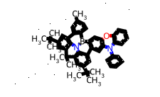 Cc1ccc2c(c1)-c1cc(C(C)(C)C)cc3c1N1B2c2cc4c(cc2-c2cc(C(C)(C)C)cc(c21)C3(C)C)N(c1ccccc1)c1ccccc1O4